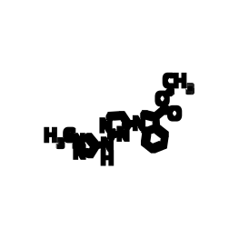 CCOC(=O)c1cn(-c2ccnc(Nc3cnn(C)c3)n2)c2ccccc12